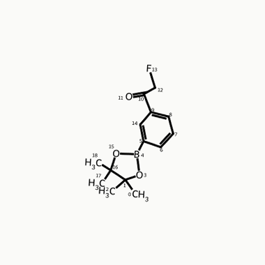 CC1(C)OB(c2cccc(C(=O)CF)c2)OC1(C)C